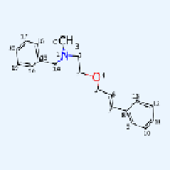 CN(CCOCC=Cc1ccccc1)Cc1ccccc1